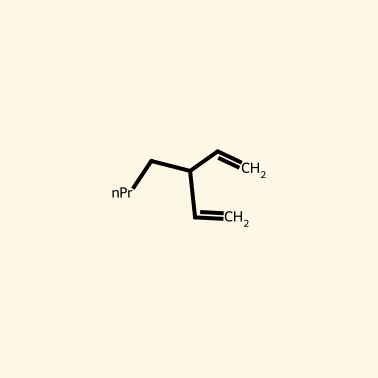 C=CC(C=C)CCCC